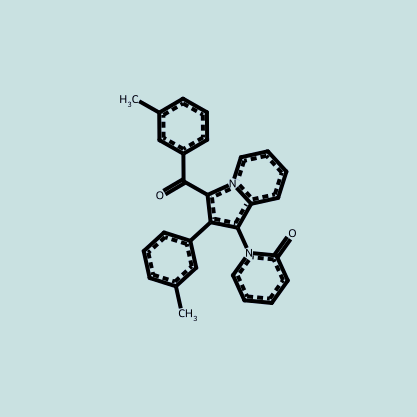 Cc1cccc(C(=O)c2c(-c3cccc(C)c3)c(-n3ccccc3=O)c3ccccn23)c1